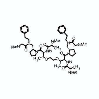 CNCC(=O)N(CCc1ccccc1)C[C@@H]1CCCN1C(=O)[C@@H](NC(=O)[C@H](C)NC)[C@@H](C)OCCO[C@H](C)[C@H](NC(=O)[C@H](C)NC)C(=O)N1CCC[C@H]1CN(CCc1ccccc1)C(=O)CNC